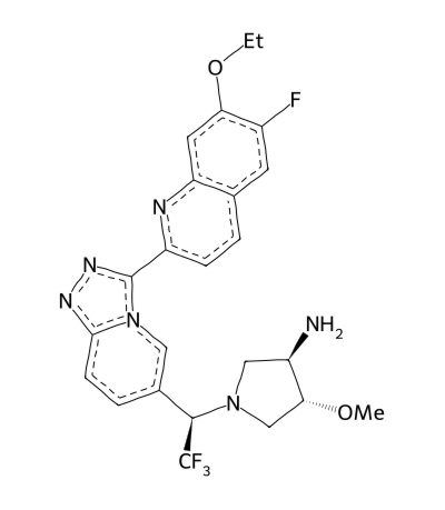 CCOc1cc2nc(-c3nnc4ccc([C@@H](N5C[C@@H](N)[C@H](OC)C5)C(F)(F)F)cn34)ccc2cc1F